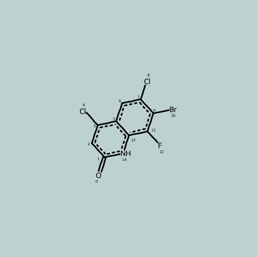 O=c1cc(Cl)c2cc(Cl)c(Br)c(F)c2[nH]1